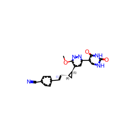 COc1nnc(-c2c[nH]c(=O)[nH]c2=O)cc1[C@H]1C[C@@H]1/C=C/c1ccc(C#N)cc1